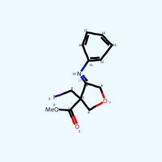 COC(=O)C1(CI)COC/C1=N\c1ccccc1